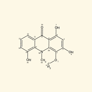 COc1c(O)cc(O)c2c(=O)c3cccc(O)c3n(C)c12